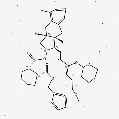 CCCCC[C@@H](CC[C@@H]1[C@H]2Cc3cccc(C)c3C[C@H]2C[C@H]1OC(=O)[C@H]1CCCC[C@H]1C(=O)OCc1ccccc1)OC1CCCCO1